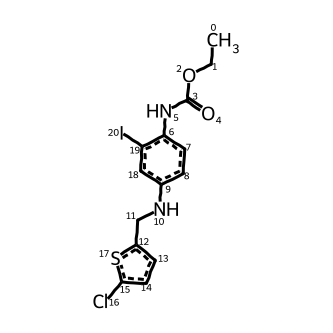 CCOC(=O)Nc1ccc(NCc2ccc(Cl)s2)cc1I